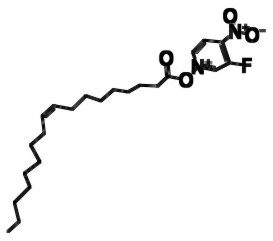 CCCCCCCC/C=C\CCCCCCCC(=O)O[n+]1ccc([N+](=O)[O-])c(F)c1